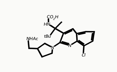 CC(=O)NCC1CCN(c2nc3c(Cl)cccc3cc2C(C)(NC(=O)O)C(C)(C)C)C1